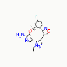 CCn1ncc2c1-c1cnc(N)c(c1)O[C@H](C)c1cc(F)ccc1-c1nocc1C2